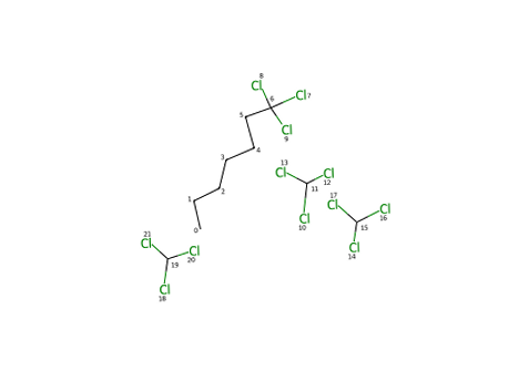 CCCCCCC(Cl)(Cl)Cl.ClC(Cl)Cl.ClC(Cl)Cl.ClC(Cl)Cl